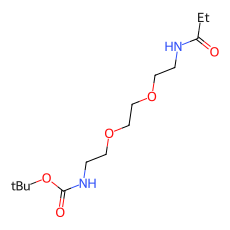 CCC(=O)NCCOCCOCCNC(=O)OC(C)(C)C